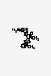 CN1C(=O)[C@@]2(C[C@H]2c2cn(C)c(=O)c3[nH]c(-c4cn(C)cn4)cc23)c2ccccc21